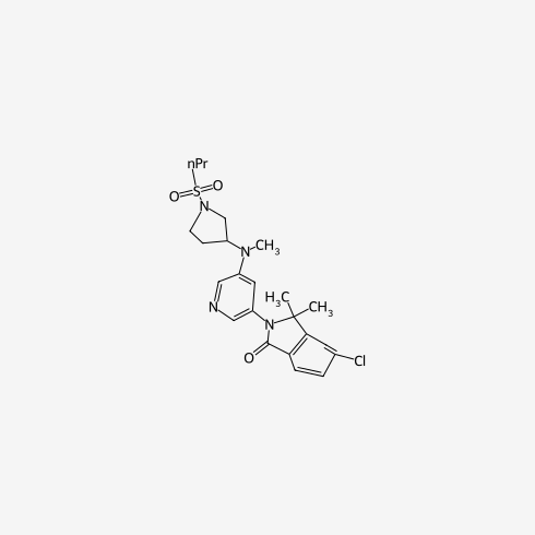 CCCS(=O)(=O)N1CCC(N(C)c2cncc(N3C(=O)c4ccc(Cl)cc4C3(C)C)c2)C1